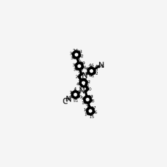 [C-]#[N+]c1ccc(-n2c(-c3ccc(-c4ccccc4)cc3)cc3cc4c(cc(-c5ccc(-c6ccccc6)cc5)n4-c4ccc(C#N)cc4)cc32)cc1